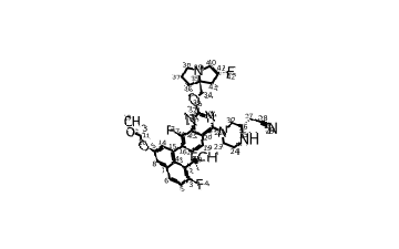 C#Cc1c(F)ccc2cc(OCOC)cc(-c3c(F)cc4c(N5CCN[C@@H](CC#N)C5)nc(OC[C@@]56CCCN5C[C@H](F)C6)nc4c3F)c12